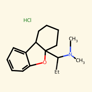 CCC(N(C)C)C12CCCCC1c1ccccc1O2.Cl